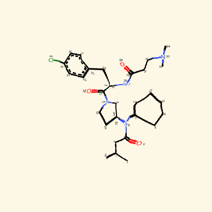 CC(C)CC(=O)N(C1CCCCC1)[C@H]1CCN(C(=O)[C@@H](Cc2ccc(Cl)cc2)NC(=O)CCN(C)C)C1